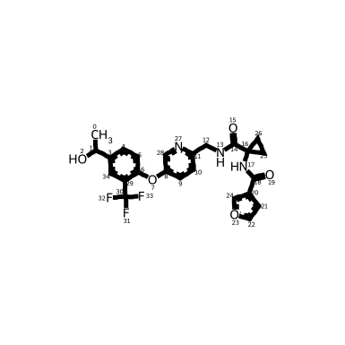 CC(O)c1ccc(Oc2ccc(CNC(=O)C3(NC(=O)c4ccoc4)CC3)nc2)c(C(F)(F)F)c1